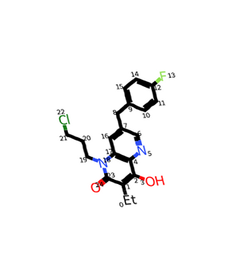 [CH2]Cc1c(O)c2ncc(Cc3ccc(F)cc3)cc2n(CCCCl)c1=O